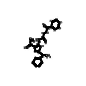 CC(c1ccccc1)c1cc(C(N)=O)c(NC(=O)CCC(=O)c2ccccc2)s1